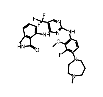 COc1c(Nc2ncc(C(F)(F)F)c(Nc3cccc4c3C(=O)NC4)n2)ccc(N2CCCN(C)CC2)c1F